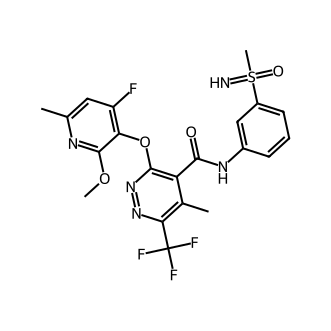 COc1nc(C)cc(F)c1Oc1nnc(C(F)(F)F)c(C)c1C(=O)Nc1cccc(S(C)(=N)=O)c1